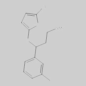 CNCCC(Sc1ccc(Cl)o1)c1cccc(C)c1